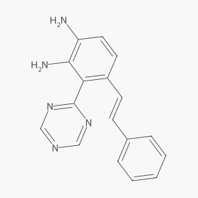 Nc1ccc(C=Cc2ccccc2)c(-c2ncncn2)c1N